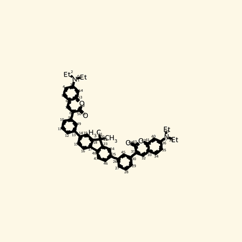 CCN(CC)c1ccc2cc(-c3cccc(-c4ccc5c(c4)C(C)(C)c4cc(-c6cccc(-c7cc8ccc(N(CC)CC)cc8oc7=O)c6)ccc4-5)c3)c(=O)oc2c1